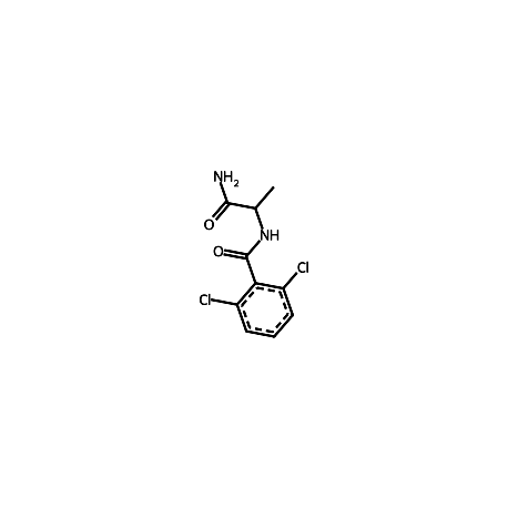 CC(NC(=O)c1c(Cl)cccc1Cl)C(N)=O